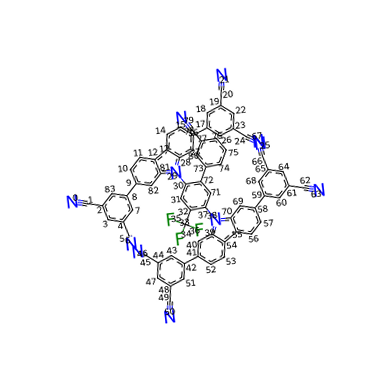 N#Cc1cc(C#N)cc(-c2ccc3c4ccc(-c5cc(C#N)cc(C#N)c5)cc4n(-c4cc(C(F)(F)F)c(-n5c6cc(-c7cc(C#N)cc(C#N)c7)ccc6c6ccc(-c7cc(C#N)cc(C#N)c7)cc65)cc4-c4cccc(C#N)c4)c3c2)c1